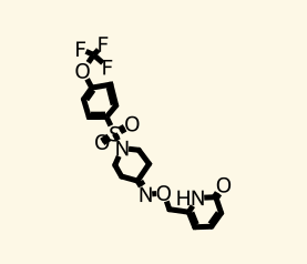 O=c1cccc(CON=C2CCN(S(=O)(=O)c3ccc(OC(F)(F)F)cc3)CC2)[nH]1